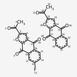 CC(=O)c1cc2c(o1)C(=O)c1cc(F)ccc1C2=O.CC(=O)c1cc2c(o1)C(=O)c1ccccc1C2=O